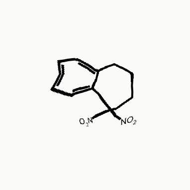 O=[N+]([O-])C1([N+](=O)[O-])CCCc2ccccc21